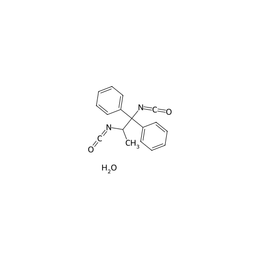 CC(N=C=O)C(N=C=O)(c1ccccc1)c1ccccc1.O